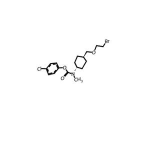 CN(C(=O)Oc1ccc(Cl)cc1)[C@H]1CC[C@H](COCCBr)CC1